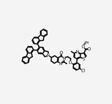 Cc1cc(-c2cc(Cl)ccc2OCCn2c(C)nc3c(c2=O)CC(N2Cc4cc(-c5cccc6c5Cc5ccccc5-6)c(-c5cccc6c5Cc5ccccc5-6)cc4C2)CC3)c2scc(C(=O)OC(C)C)c2n1